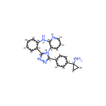 NC1(c2ccc(-c3nnc4n3-c3cccnc3Nc3ccccc3-4)cc2)CC1